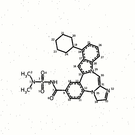 CN(C)S(=O)(=O)NC(=O)c1ccc2c(c1)-c1cc3c(C4CCCCC4)cccc3n1C=C1N=CCN12